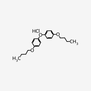 CCCCOc1ccc(Oc2ccc(OCCCC)cc2)cc1.Cl